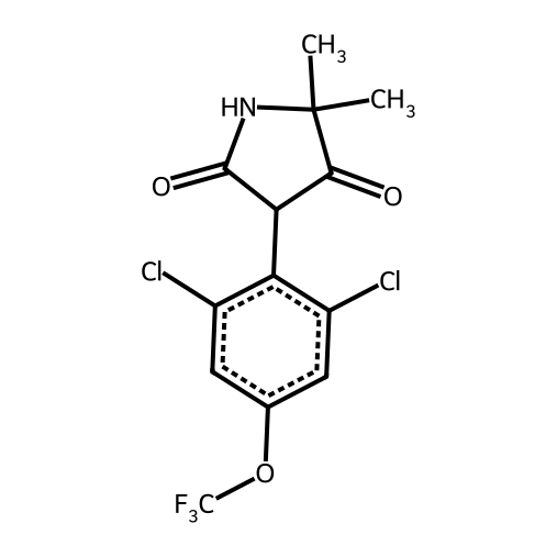 CC1(C)NC(=O)C(c2c(Cl)cc(OC(F)(F)F)cc2Cl)C1=O